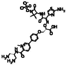 C[n+]1cc(-c2ccc(OC[C@H](O/N=C(\C(=O)NC3C(=O)N(OS(=O)(=O)[O-])C3(C)C)c3csc(N)n3)C(=O)O)cc2)ccc1C(=O)NC(CN)CN